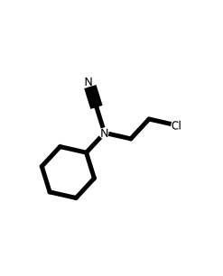 N#CN(CCCl)C1CCCCC1